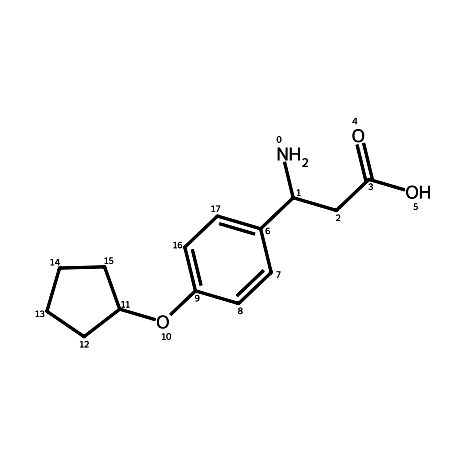 NC(CC(=O)O)c1ccc(OC2CCCC2)cc1